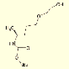 C[C@@H](CCCOCCO)NC(=O)OC(C)(C)C